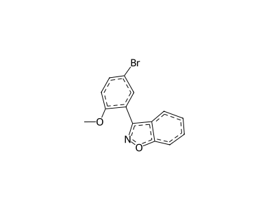 COc1ccc(Br)cc1-c1noc2ccccc12